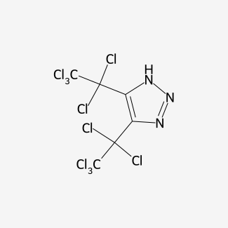 ClC(Cl)(Cl)C(Cl)(Cl)c1nn[nH]c1C(Cl)(Cl)C(Cl)(Cl)Cl